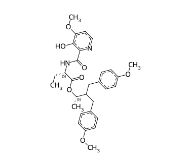 CC[C@H](NC(=O)c1nccc(OC)c1O)C(=O)O[C@@H](C)C(Cc1ccc(OC)cc1)Cc1ccc(OC)cc1